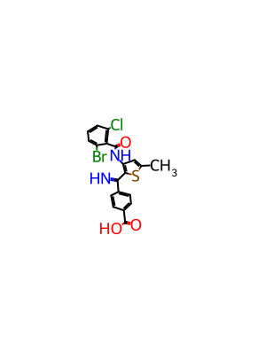 Cc1cc(NC(=O)c2c(Cl)cccc2Br)c(C(=N)c2ccc(C(=O)O)cc2)s1